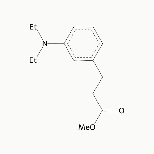 CCN(CC)c1cccc(CCC(=O)OC)c1